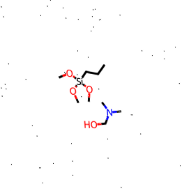 CCC[Si](OC)(OC)OC.CN(C)CO